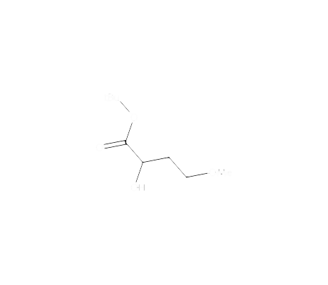 COCCC(O)C(=O)OC(C)(C)C